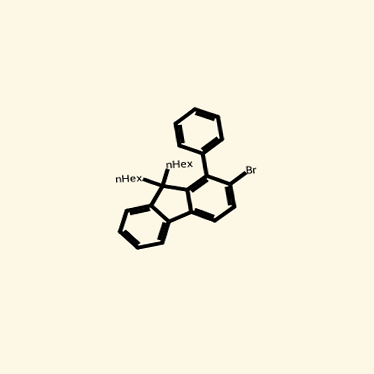 CCCCCCC1(CCCCCC)c2ccccc2-c2ccc(Br)c(-c3ccccc3)c21